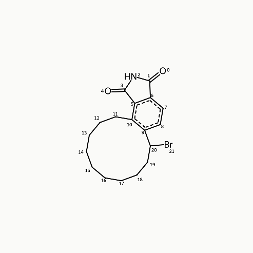 O=C1NC(=O)c2c1ccc1c2CCCCCCCCCC1Br